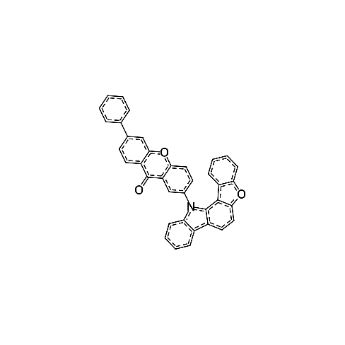 O=c1c2ccc(-c3ccccc3)cc2oc2ccc(-n3c4ccccc4c4ccc5oc6ccccc6c5c43)cc12